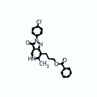 Cc1[nH]cc2c(=O)n(-c3ccc(Cl)cc3)nc-2c1CCCOC(=O)c1ccccc1